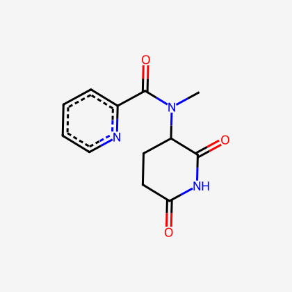 CN(C(=O)c1ccccn1)C1CCC(=O)NC1=O